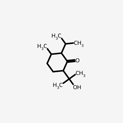 CC(C)C1C(=O)C(C(C)(C)O)CCC1C